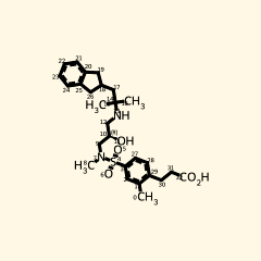 Cc1cc(S(=O)(=O)N(C)C[C@H](O)CNC(C)(C)CC2Cc3ccccc3C2)ccc1CCC(=O)O